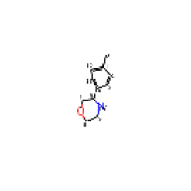 Cc1ccc(C2COCC[N]2)cc1